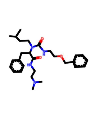 CC(C)CCN(C(=O)NCCOCc1ccccc1)C(Cc1ccccc1)C(=O)NCCN(C)C